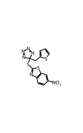 O=[N+]([O-])c1ccc2nc(SC3(Cc4cccs4)N=NN=N3)sc2c1